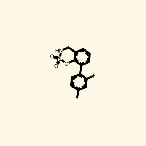 Cc1ccc(-c2cccc3c2OS(=O)(=O)NC3)c(F)c1